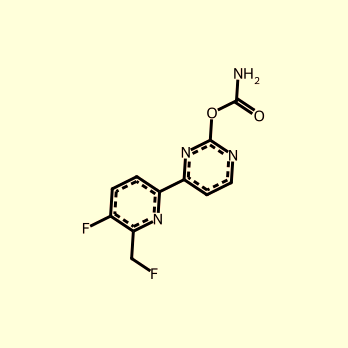 NC(=O)Oc1nccc(-c2ccc(F)c(CF)n2)n1